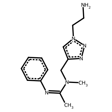 C/C(=N/c1ccccc1)N(C)Cc1cn(CCN)nn1